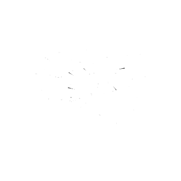 CC1(C)CCC2(CC1)N1[C@H](c3ccccc3)[C@H](c3ccccc3)OC(=O)[C@H]1[C@H](c1ccnc(Cl)c1)[C@@]21C(=O)Nc2cc(Cl)ccc21